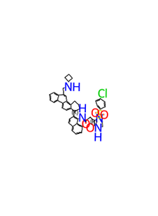 O=C(C[C@@H]1C(=O)NCCN1S(=O)(=O)c1ccc(Cl)cc1)Nc1c([C@@H]2CCCc3c2ccc2c3cc(CNC3CCC3)c3ccccc32)ccc2ccccc12